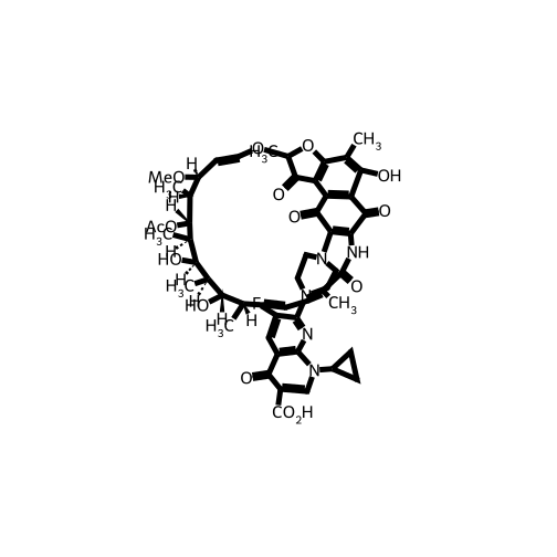 CO[C@H]1/C=C/O[C@@]2(C)Oc3c(C)c(O)c4c(c3C2=O)C(=O)C(N2CCN(c3nc5c(cc3F)c(=O)c(C(=O)O)cn5C3CC3)CC2)=C(NC(=O)/C(C)=C\C=C\[C@H](C)[C@H](O)[C@@H](C)[C@@H](O)[C@@H](C)[C@H](OC(C)=O)[C@@H]1C)C4=O